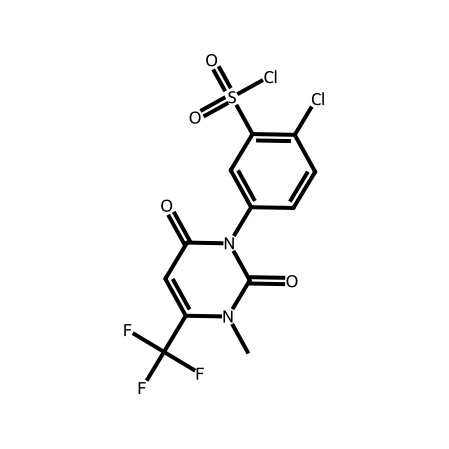 Cn1c(C(F)(F)F)cc(=O)n(-c2ccc(Cl)c(S(=O)(=O)Cl)c2)c1=O